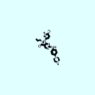 C=CCn1c(=O)c2cnc(Nc3ccc(N4CCN(C)CC4)cc3)nc2n1-c1ccc(=O)n(C)n1